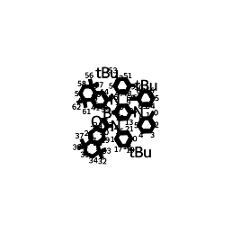 Cc1ccccc1N(c1cc2c3c(c1)N(c1ccc(C(C)(C)C)cc1)c1c(oc4cc5c(cc14)C(C)(C)CCC5(C)C)B3c1cc3c(cc1N2c1cc(C(C)(C)C)cc(C(C)(C)C)c1)C(C)(C)CCC3(C)C)c1ccccc1C